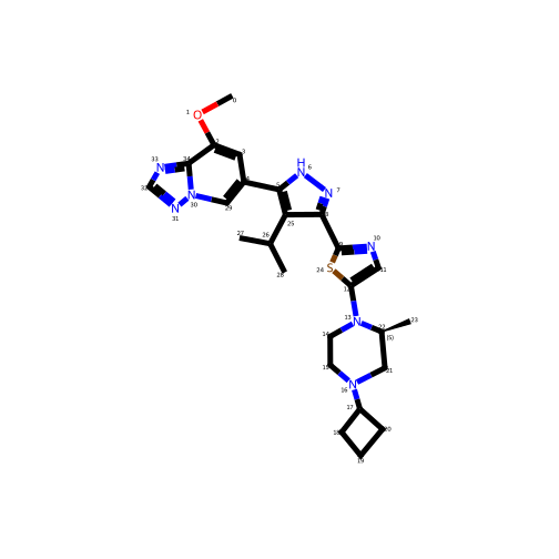 COc1cc(-c2[nH]nc(-c3ncc(N4CCN(C5CCC5)C[C@@H]4C)s3)c2C(C)C)cn2ncnc12